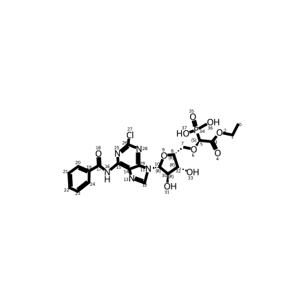 CCOC(=O)[C@@H](OC[C@H]1O[C@@H](n2cnc3c(NC(=O)c4ccccc4)nc(Cl)nc32)[C@H](O)[C@H]1O)P(=O)(O)O